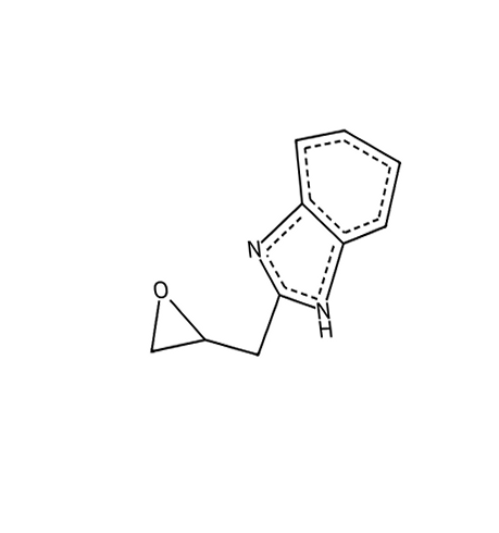 c1ccc2[nH]c(CC3CO3)nc2c1